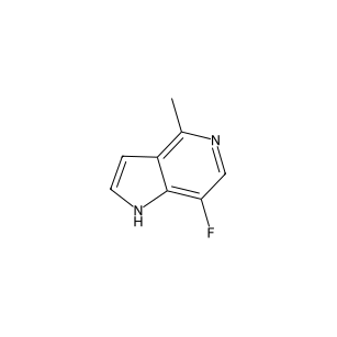 Cc1ncc(F)c2[nH]ccc12